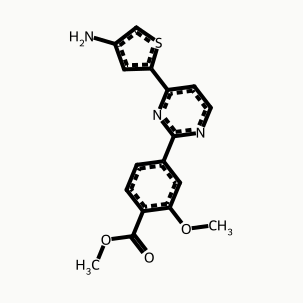 COC(=O)c1ccc(-c2nccc(-c3cc(N)cs3)n2)cc1OC